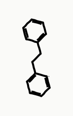 [c]1ccccc1CCc1ccccc1